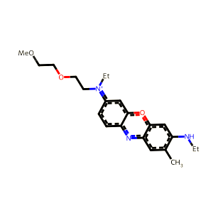 CCNc1cc2oc3c/c(=[N+](\CC)CCOCCOC)ccc-3nc2cc1C